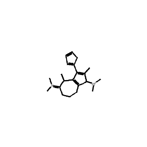 CC1=C(C2=CC=CC2)C2=C(CCCC(=[Si](C)C)C2C)[CH]1[Hf]([CH3])[CH3]